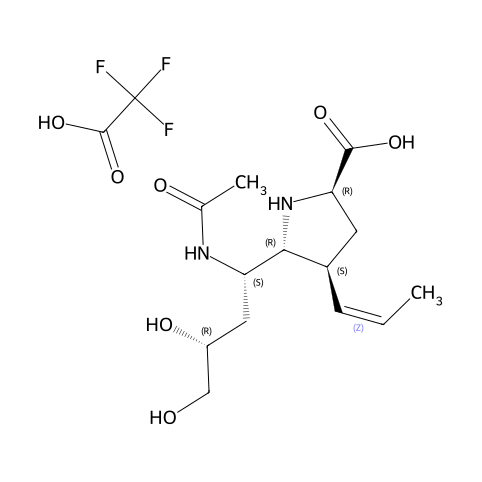 C/C=C\[C@@H]1C[C@H](C(=O)O)N[C@H]1[C@H](C[C@@H](O)CO)NC(C)=O.O=C(O)C(F)(F)F